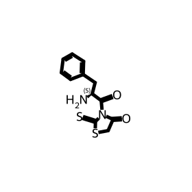 N[C@@H](Cc1ccccc1)C(=O)N1C(=O)CSC1=S